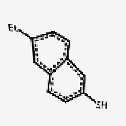 CCc1ccc2cc(S)ccc2c1